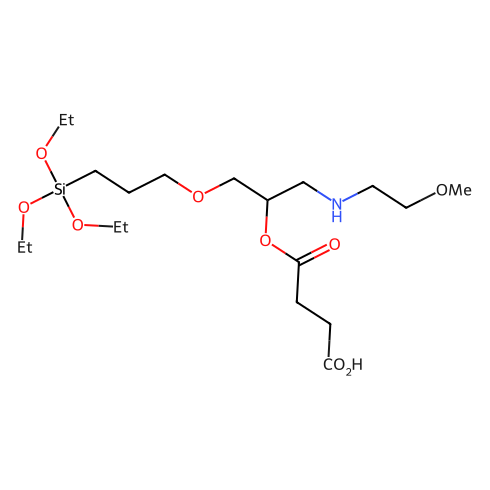 CCO[Si](CCCOCC(CNCCOC)OC(=O)CCC(=O)O)(OCC)OCC